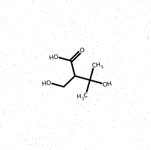 CC(C)(O)C(CO)C(=O)O